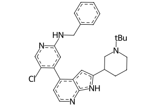 CC(C)(C)N1CCCC(c2cc3c(-c4cc(NCc5ccccc5)ncc4Cl)ccnc3[nH]2)C1